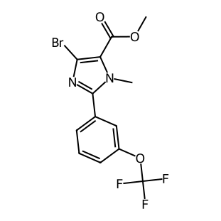 COC(=O)c1c(Br)nc(-c2cccc(OC(F)(F)F)c2)n1C